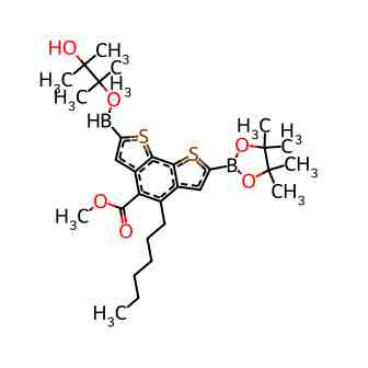 CCCCCCc1c(C(=O)OC)c2cc(BOC(C)(C)C(C)(C)O)sc2c2sc(B3OC(C)(C)C(C)(C)O3)cc12